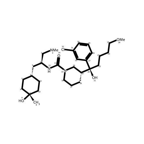 CNC[C@H](C[C@H]1CC[C@@](C)(O)CC1)NC(=O)N1CCC[C@@H]([C@@](O)(CCCCOC)c2cccc(Cl)c2)C1